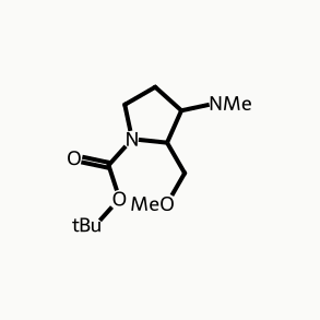 CNC1CCN(C(=O)OC(C)(C)C)C1COC